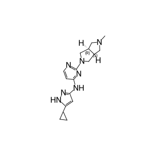 CN1C[C@@H]2CN(c3nccc(Nc4cc(C5CC5)[nH]n4)n3)C[C@@H]2C1